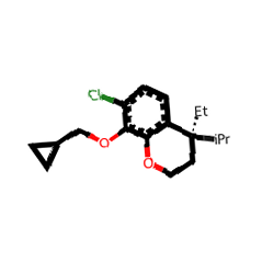 CC[C@]1(C(C)C)CCOc2c1ccc(Cl)c2OCC1CC1